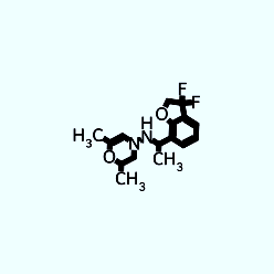 CC1=CN(NC(C)c2cccc3c2OCC3(F)F)CC(C)O1